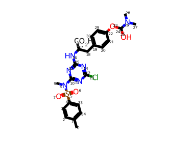 Cc1ccc(S(=O)(=O)N(C)c2nc(Cl)nc(NC(Cc3ccc(OC(O)N(C)C)cc3)C(=O)O)n2)cc1